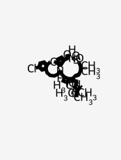 CO[C@@]1(CN2CC(C)(N(C)C)C2)/C=C/[C@H](C)[C@H](C)CS(=O)(=O)NC(=O)c2ccc3c(c2)N(CCCCc2cc(Cl)ccc2CO3)C[C@@H]2CC[C@H]21